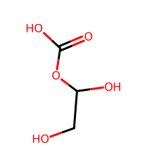 O=C(O)OC(O)CO